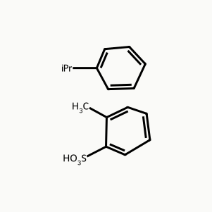 CC(C)c1ccccc1.Cc1ccccc1S(=O)(=O)O